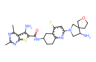 Cc1nc(C)c2c(N)c(C(=O)NC3CCc4nc(N5CC(N)C6(CCOC6)C5)cc(F)c4C3)sc2n1